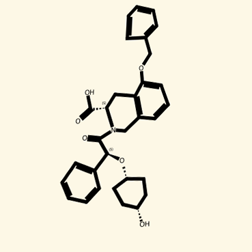 O=C(O)[C@@H]1Cc2c(cccc2OCc2ccccc2)CN1C(=O)[C@@H](O[C@H]1CC[C@@H](O)CC1)c1ccccc1